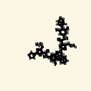 CCc1oc(N2CCCC2)nc1C(=O)Nc1cc(F)c(N2CC3CC(C2)C3CC2(C)CN(c3nc(C(=O)Nc4cc(F)c(N5CC6CC(C6)C5)c(F)c4)c(CC)o3)C2)c(F)c1